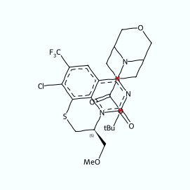 COC[C@H]1CSc2c(Cl)c(C(F)(F)F)cc3c(N4C5COCC4CN(C(=O)OC(C)(C)C)C5)nc(=O)n1c23